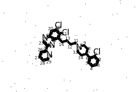 Clc1ccccc1C1CCN(CCCCc2c(Cl)c(Cl)cc3n[c]c(-c4ccccn4)nc23)CC1